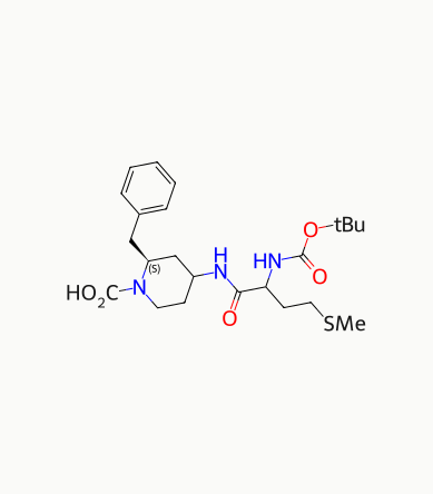 CSCCC(NC(=O)OC(C)(C)C)C(=O)NC1CCN(C(=O)O)[C@@H](Cc2ccccc2)C1